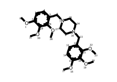 COc1ccc(CN2CCN(Cc3ccc(OC)c(OC)c3OC)CC2)c(OC)c1OC